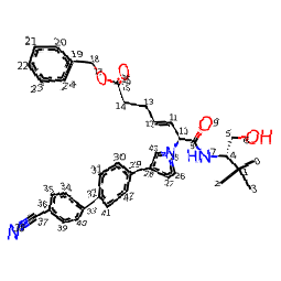 CC(C)(C)[C@@H](CO)NC(=O)[C@H](C=CCCC(=O)OCc1ccccc1)n1ccc(-c2ccc(-c3ccc(C#N)cc3)cc2)c1